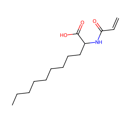 C=CC(=O)NC(CCCCCCCCC)C(=O)O